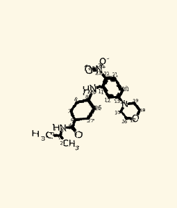 CC(C)NC(=O)C1CCC(Nc2cc(N3CCOCC3)ccc2[N+](=O)[O-])CC1